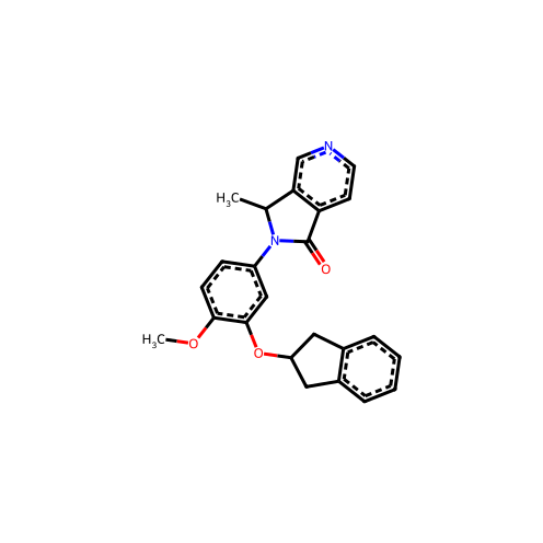 COc1ccc(N2C(=O)c3ccncc3C2C)cc1OC1Cc2ccccc2C1